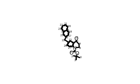 CC(C)(C)OC(=O)N1CCC(=O)c2cc(Cc3ccc4ccccc4c3)ccc21